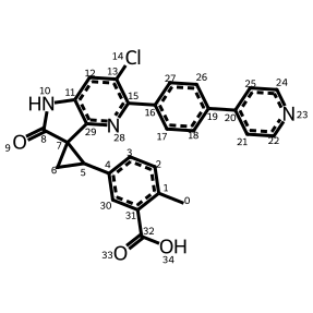 Cc1ccc(C2CC23C(=O)Nc2cc(Cl)c(-c4ccc(-c5ccncc5)cc4)nc23)cc1C(=O)O